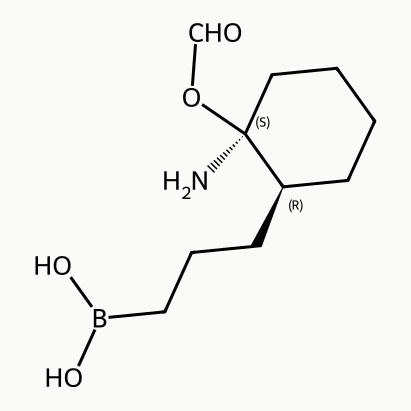 N[C@]1(OC=O)CCCC[C@H]1CCCB(O)O